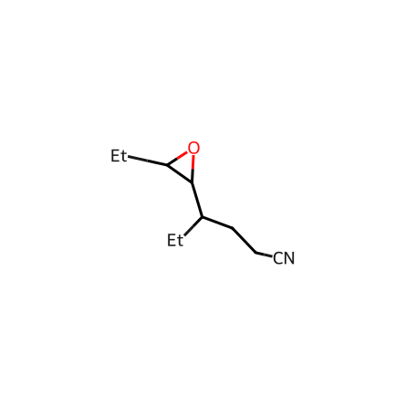 CCC(CCC#N)C1OC1CC